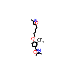 Cc1cc(CCCCCOc2ccc(-c3nc(C)c(C)o3)cc2C(F)(F)F)on1